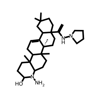 C=C(NN1CCCC1)C12CCC(C)(C)CC1C1=CCC3C4(C)CCC(O)N(N)C4CCC3(C)[C@]1(C)CC2